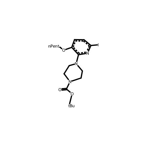 CCCCCOc1ccc(I)nc1N1CCN(C(=O)OC(C)(C)C)CC1